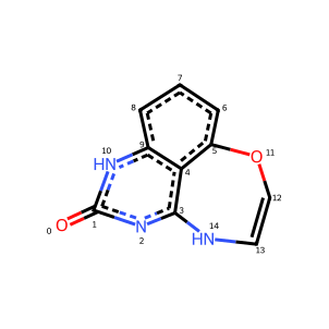 O=c1nc2c3c(cccc3[nH]1)OC=CN2